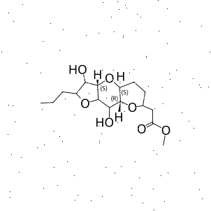 CCCC1OC2C(O)[C@H]3OC(CC(=O)OC)CC[C@@H]3O[C@H]2C1O